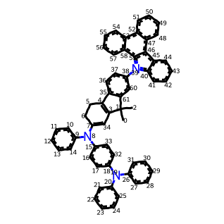 CC1(C)C2=C(CCC(N(c3ccccc3)c3ccc(N(c4ccccc4)c4ccccc4)cc3)=C2)c2ccc(-n3c4ccccc4c4c5ccccc5c5ccccc5c43)cc21